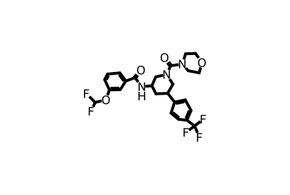 O=C(NC1CC(c2ccc(C(F)(F)F)cc2)CN(C(=O)N2CCOCC2)C1)c1cccc(OC(F)F)c1